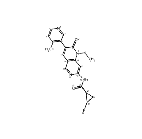 CCn1c(=O)c(-c2cnccc2C)cc2cnc(NC(=O)C3CC3F)cc21